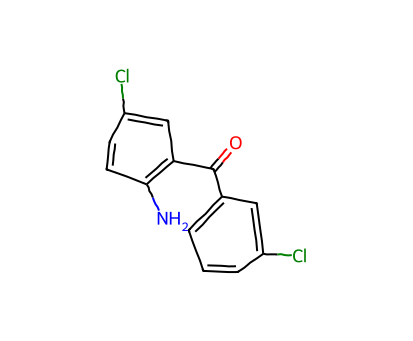 Nc1ccc(Cl)cc1C(=O)c1cccc(Cl)c1